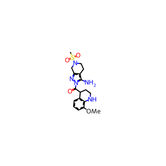 COc1cccc2c1NCCC2C(=O)n1nc2c(c1N)CCN(S(C)(=O)=O)C2